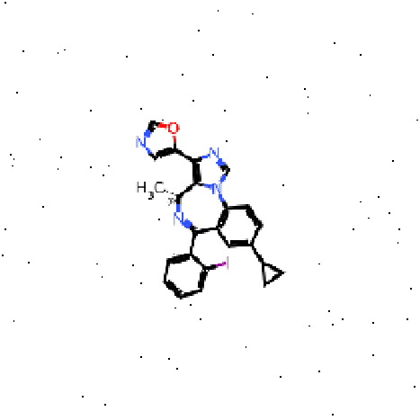 C[C@H]1N=C(c2ccccc2I)c2cc(C3CC3)ccc2-n2cnc(-c3cnco3)c21